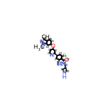 CCc1cc(-c2cc(Oc3ccc4c(C)nn(C)c4c3)ccn2)cc(F)c1C(=O)NCC1CNC1